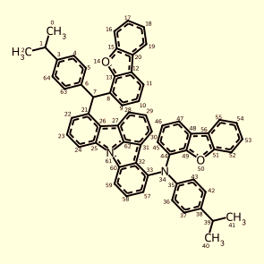 CC(C)c1ccc(C(c2cccc3c2oc2ccccc23)c2cccc3c2c2cccc4c5c(N(c6ccc(C(C)C)cc6)c6cccc7c6oc6ccccc67)cccc5n3c24)cc1